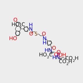 O=C1C=CC2C(=C1)Cc1cc(O)ccc1C2c1ccc(NC(=O)CSCCC(=O)NCc2ccc(C(=O)N[C@@H](COP(=O)(O)N[C@@H](CCC(=O)O)C(=O)O)C(=O)O)cc2)cc1C(=O)O